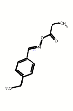 CCC(=O)O/N=C/c1ccc(CO)cc1